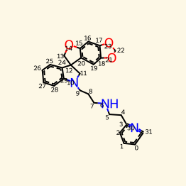 c1ccc(CCNCCCN2CC3(COc4cc5c(cc43)OCO5)c3ccccc32)nc1